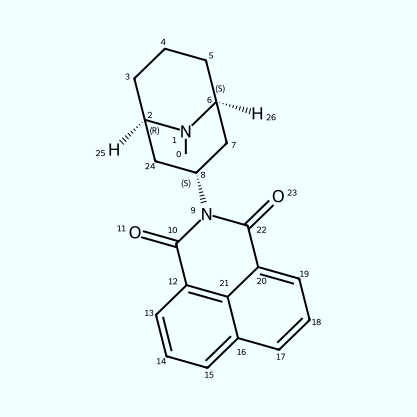 CN1[C@@H]2CCC[C@H]1C[C@H](N1C(=O)c3cccc4cccc(c34)C1=O)C2